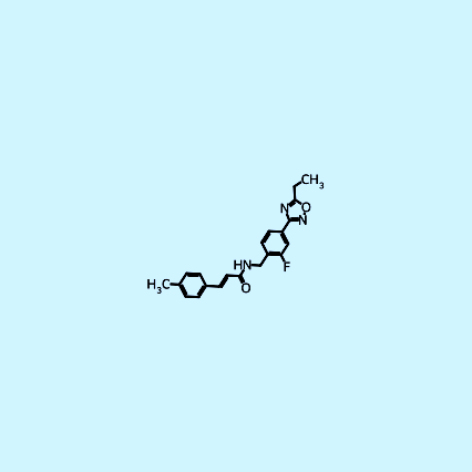 CCc1nc(-c2ccc(CNC(=O)/C=C/c3ccc(C)cc3)c(F)c2)no1